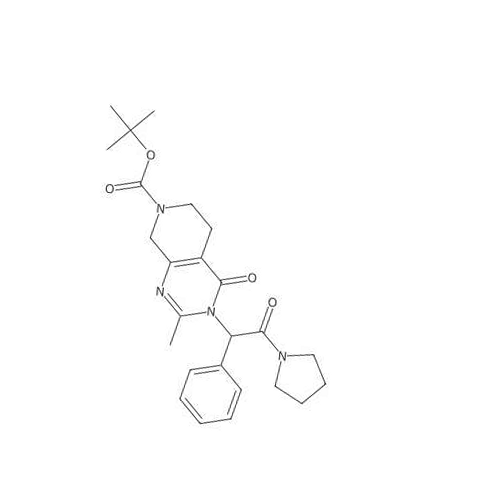 Cc1nc2c(c(=O)n1C(C(=O)N1CCCC1)c1ccccc1)CCN(C(=O)OC(C)(C)C)C2